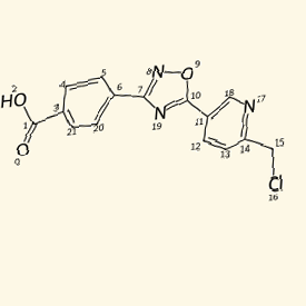 O=C(O)c1ccc(-c2noc(-c3ccc(CCl)nc3)n2)cc1